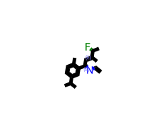 C=C/N=C(\C=C(/C)C(C)F)c1cc(C(C)C)ccc1C